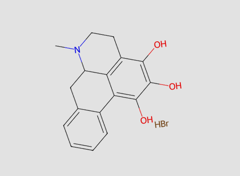 Br.CN1CCc2c(O)c(O)c(O)c3c2C1Cc1ccccc1-3